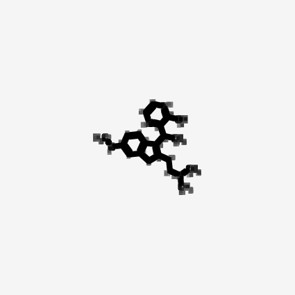 COc1ccc2c(c1)CC(CCN(C)C)=C2C(C)c1nccnc1O